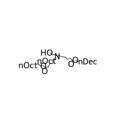 CCCCCCCCCCCOC(=O)CCCCCN(CCO)CCCCCC(=O)OCC(CCCCCCCC)CCCCCCCC